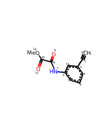 C#Cc1cccc(NC(=O)C(=O)OC)c1